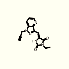 C#CCn1nc(/C=C2\NC(=O)N(CC)C2=O)c2ncccc21